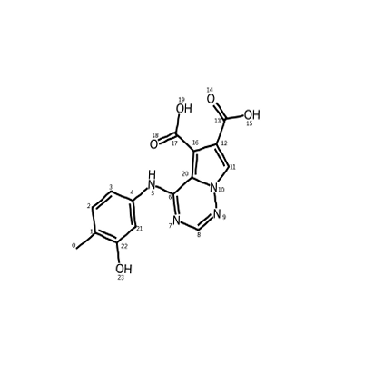 Cc1ccc(Nc2ncnn3cc(C(=O)O)c(C(=O)O)c23)cc1O